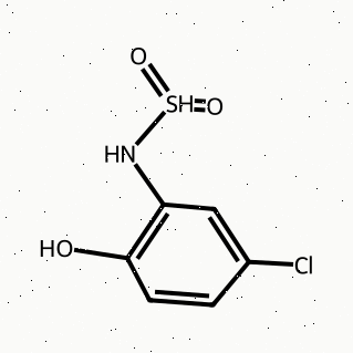 O=[SH](=O)Nc1cc(Cl)ccc1O